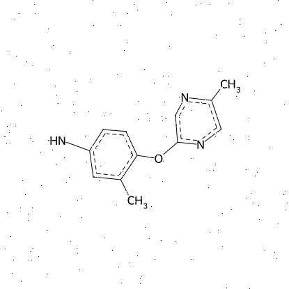 Cc1cnc(Oc2ccc([NH])cc2C)cn1